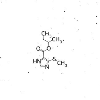 CCC(C)OC(=O)c1[nH]cnc1SC